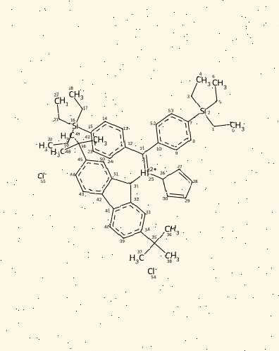 CC[Si](CC)(CC)c1ccc([C](c2ccc([Si](CC)(CC)CC)cc2)=[Hf+2]([CH]2C=CC=C2)[CH]2c3cc(C(C)(C)C)ccc3-c3ccc(C(C)(C)C)cc32)cc1.[Cl-].[Cl-]